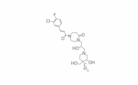 CC1(CO)CCN(CC(O)CN2CCN(C(=O)C=Cc3ccc(F)c(Cl)c3)CCC2=O)CC1O